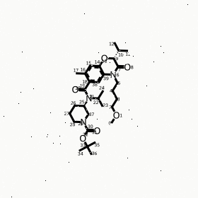 COCCCCN1C(=O)[C@@H](C(C)C)Oc2cc(C)c(C(=O)N(C(C)C)[C@@H]3CCCN(C(=O)OC(C)(C)C)C3)cc21